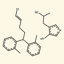 CCC=CCCB(c1ccccc1C)c1ccccc1C.CCCc1cncn1CC(C)C#N